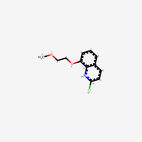 COCCOc1cccc2ccc(Cl)nc12